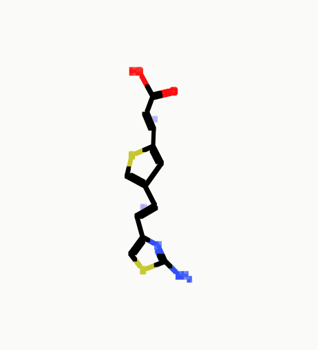 Nc1nc(/C=C/c2csc(/C=C/C(=O)O)c2)cs1